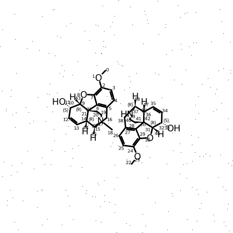 COc1ccc2c3c1O[C@H]1[C@@H](O)C=C[C@H]4[C@@H](C2)N(C)CC[C@@]341.COc1ccc2c3c1O[C@H]1[C@@H](O)C=C[C@H]4[C@@H](C2)NCC[C@@]341